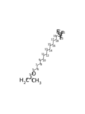 C=C(C)COCCCCCCCCCCCCCCC[Si](F)(F)F